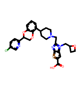 O=C(O)c1cc2c(nc(CN3CCC(c4cccc5c4OCC(c4ccc(Cl)cn4)O5)CC3)n2CC2CCO2)s1